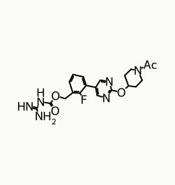 CC(=O)N1CCC(Oc2ncc(-c3cccc(COC(=O)NC(=N)N)c3F)cn2)CC1